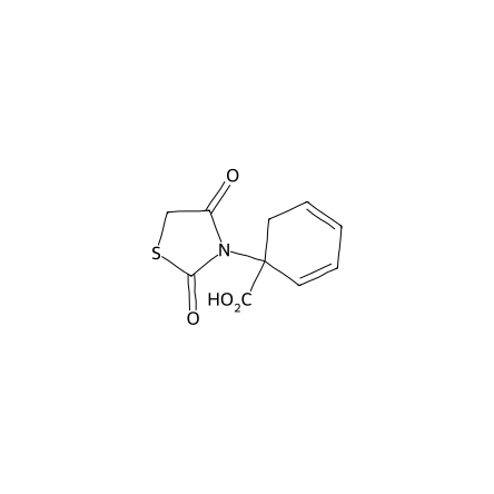 O=C1CSC(=O)N1C1(C(=O)O)C=CC=CC1